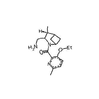 CCOc1ccc(C)nc1C(=O)N1C2CC(C2)[C@@H](C)C1CN